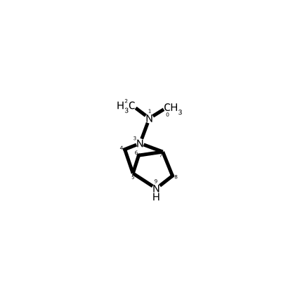 CN(C)N1CC2CC1CN2